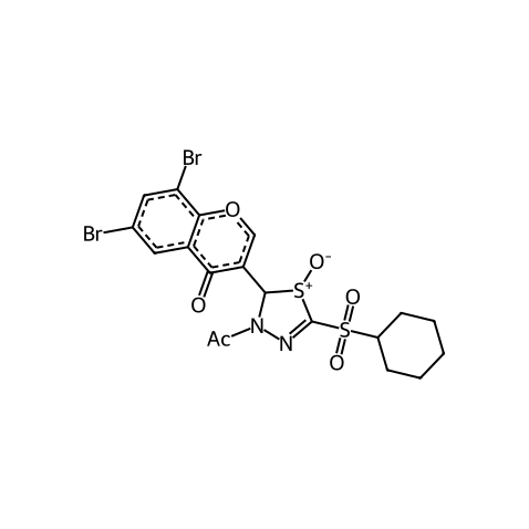 CC(=O)N1N=C(S(=O)(=O)C2CCCCC2)[S+]([O-])C1c1coc2c(Br)cc(Br)cc2c1=O